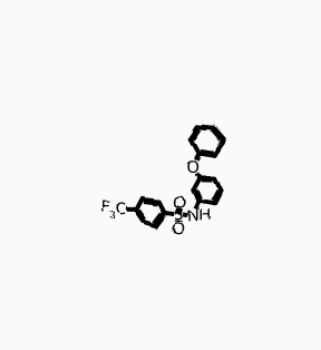 O=S(=O)(Nc1cccc(Oc2ccccc2)c1)c1ccc(C(F)(F)F)cc1